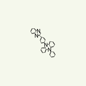 c1ccc(N2c3ccccc3N(c3ccc(-c4cnc5ccccc5n4)cc3)c3ccccc32)cc1